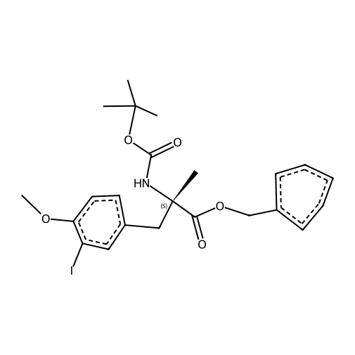 COc1ccc(C[C@](C)(NC(=O)OC(C)(C)C)C(=O)OCc2ccccc2)cc1I